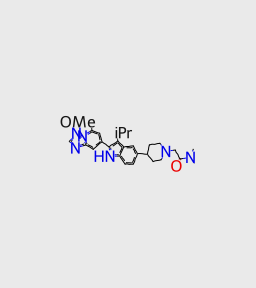 COc1cc(-c2[nH]c3ccc(C4CCN(CC(=O)N(C)C)CC4)cc3c2C(C)C)cc2ncnn12